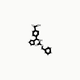 O=C(NC(c1ccc(C(=O)O)cc1)C1CCCC1)OCc1ccccc1